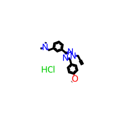 C#CCn1nc(-c2cccc(CN(C)C)c2)nc1-c1ccc(OC)cc1.Cl